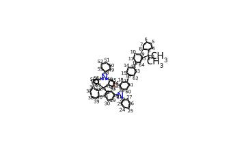 CC1(C)c2ccccc2-c2ccc(-c3ccc(-c4ccc(N(c5ccccc5)c5ccc6c(c5)C5(c7ccccc7-6)c6ccccc6N(c6ccccc6)c6ccccc65)cc4)cc3)cc21